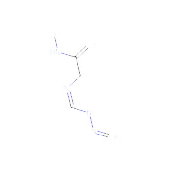 C=NN/C=N\CC(=C)NCCCC